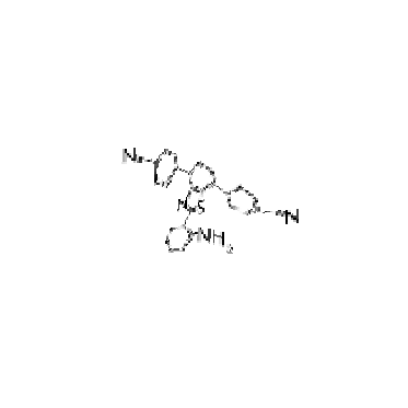 N#Cc1ccc(-c2ccc(-c3ccc(C#N)cc3)c3sc(-c4ccccc4N)nc23)cc1